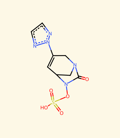 O=C1N2CC(n3nccn3)=CC(C2)N1OS(=O)(=O)O